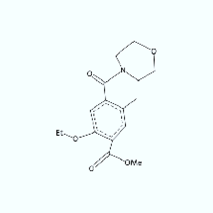 CCOc1cc(C(=O)N2CCOCC2)c(C)cc1C(=O)OC